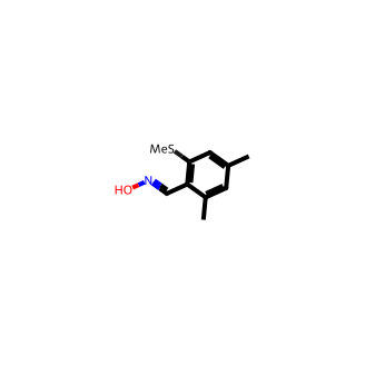 CSc1cc(C)cc(C)c1C=NO